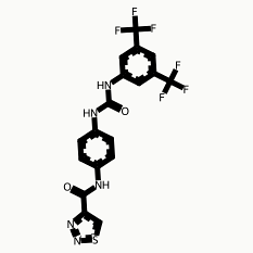 O=C(Nc1ccc(NC(=O)c2csnn2)cc1)Nc1cc(C(F)(F)F)cc(C(F)(F)F)c1